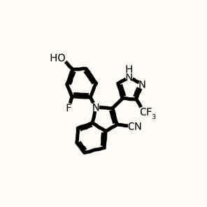 N#Cc1c(-c2c[nH]nc2C(F)(F)F)n(-c2ccc(O)cc2F)c2ccccc12